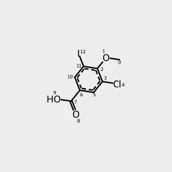 COc1c(Cl)cc(C(=O)O)cc1I